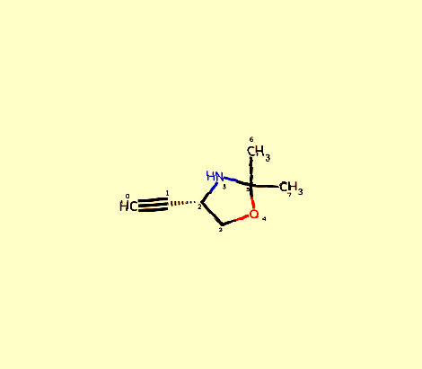 C#C[C@H]1COC(C)(C)N1